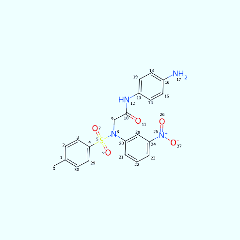 Cc1ccc(S(=O)(=O)N(CC(=O)Nc2ccc(N)cc2)c2cccc([N+](=O)[O-])c2)cc1